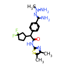 Cc1nc(NC(=O)C(c2ccc(/C(N)=N/N(C)N)cc2)C2CCC(F)(F)C2)sc1C